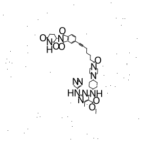 CCOC(=O)c1c(C)nc(Nc2cnn(C)c2)nc1NC1CCC(N2CCN(C(=O)CCCCC#Cc3ccc4c(c3)C(=O)N(C3CCC(=O)NC3=O)C4=O)CC2)CC1